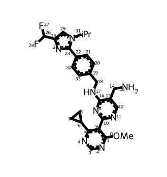 COc1ncnc(C2CC2)c1-c1ncc(CN)c(NCc2ccc(-c3nc(C(F)F)cn3C(C)C)cc2)n1